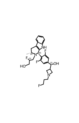 C[C@@H]1Cc2c([nH]c3ccccc23)[C@@H](c2c(F)cc([C@@H](O)C3CN(CCCF)C3)cc2F)N1C[C@H](F)CO